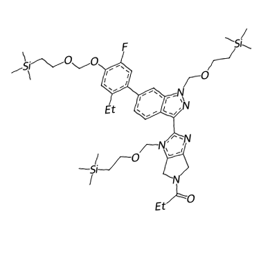 CCC(=O)N1Cc2nc(-c3nn(COCC[Si](C)(C)C)c4cc(-c5cc(F)c(OCOCC[Si](C)(C)C)cc5CC)ccc34)n(COCC[Si](C)(C)C)c2C1